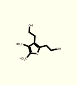 O=C(O)c1oc(CCO)c(CCO)c1C(=O)O